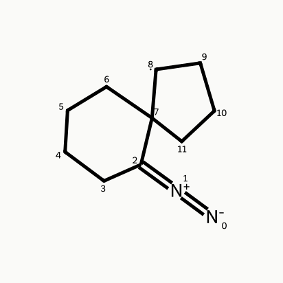 [N-]=[N+]=C1CCCCC12[CH]CCC2